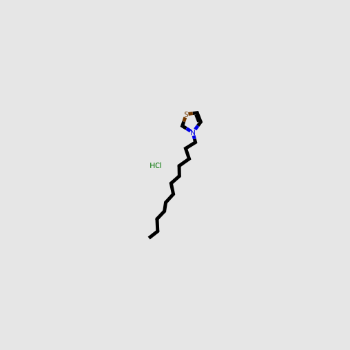 CCCCCCCCCCCCN1C=CSC1.Cl